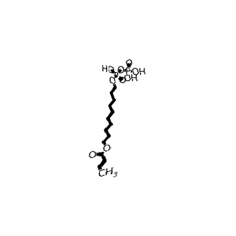 CC=CC(=O)OCCCCCCCCCCOP(=O)(O)OP(=O)(O)O